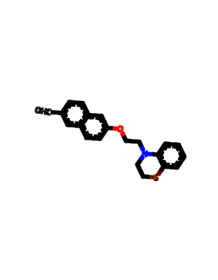 O=Cc1ccc2cc(OCCN3CCSc4ccccc43)ccc2c1